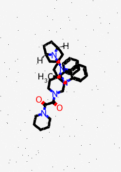 Cc1nc2ccccc2n1C1C[C@H]2CC[C@@H](C1)N2CCC1(c2ccccc2)CCN(C(=O)C(=O)N2CCCCC2)CC1